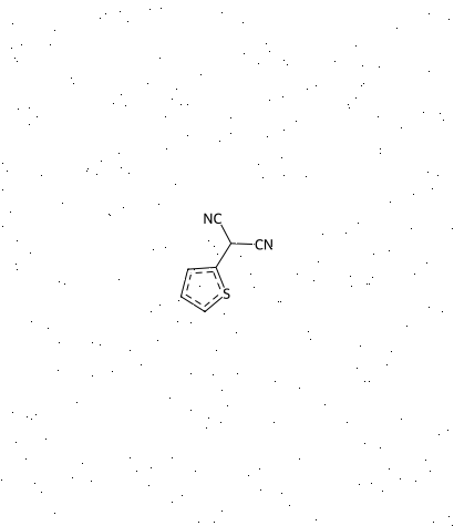 N#CC(C#N)c1cccs1